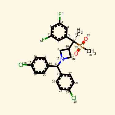 C[C@@](c1cc(F)cc(F)c1)(C1CN(C(c2ccc(Cl)cc2)c2ccc(Cl)cc2)C1)S(C)(=O)=O